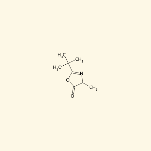 CC1N=C(C(C)(C)C)OC1=O